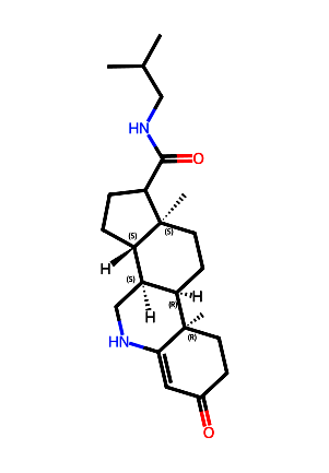 CC(C)CNC(=O)C1CC[C@H]2[C@@H]3CNC4=CC(=O)CC[C@]4(C)[C@@H]3CC[C@]12C